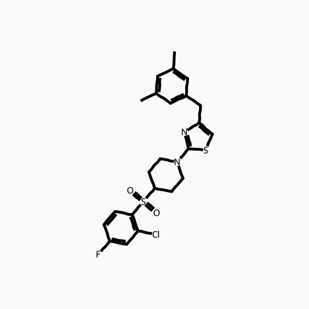 Cc1cc(C)cc(Cc2csc(N3CCC(S(=O)(=O)c4ccc(F)cc4Cl)CC3)n2)c1